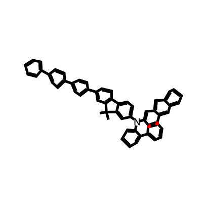 CC1(C)c2cc(-c3ccc(-c4ccc(-c5ccccc5)cc4)cc3)ccc2-c2ccc(N(c3ccc4cc5ccccc5cc4c3)c3ccccc3-c3ccccc3)cc21